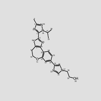 Cc1nc(-c2nc3c(s2)CCOc2cc(-c4cn(CCO)cn4)ccc2-3)n(C(C)C)n1